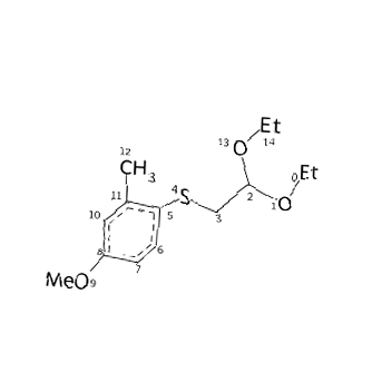 CCOC(CSc1ccc(OC)cc1C)OCC